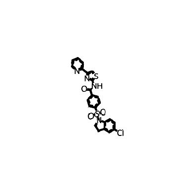 O=C(Nc1nc(-c2ccccn2)cs1)c1ccc(S(=O)(=O)N2CCc3cc(Cl)ccc32)cc1